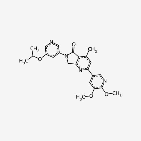 COc1cc(-c2cc(C)c3c(n2)CN(c2cncc(OC(C)C)c2)C3=O)cnc1OC